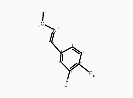 CON=Cc1c[c]c(F)c(F)c1